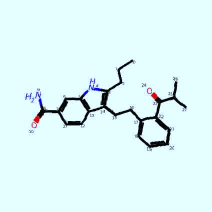 CCCc1[nH]c2cc(C(N)=O)ccc2c1CCc1ccccc1C(=O)C(C)C